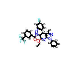 CCOC1=Nc2c(c(C)nn2-c2ccccc2)[C@H](c2ccc(F)cc2)[C@@H]1NC(=O)c1cccc(C(F)(F)F)c1